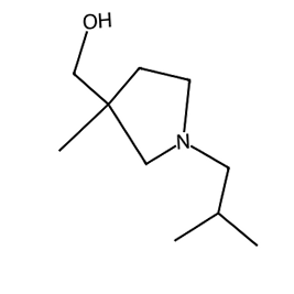 CC(C)CN1CCC(C)(CO)C1